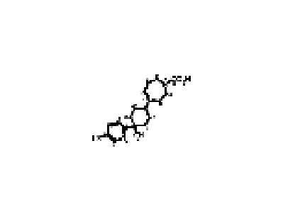 N#CC1(c2ccc(Cl)cn2)CCC(N2CCCN(C(=O)O)CC2)CC1